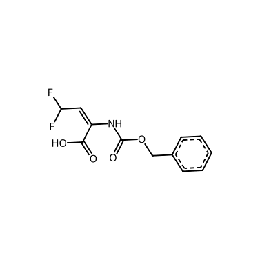 O=C(NC(=CC(F)F)C(=O)O)OCc1ccccc1